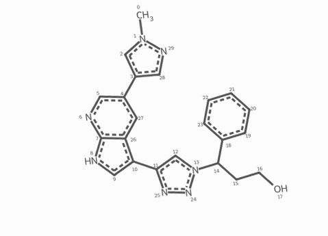 Cn1cc(-c2cnc3[nH]cc(-c4cn(C(CCO)c5ccccc5)nn4)c3c2)cn1